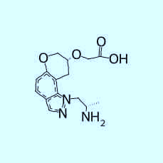 C[C@H](N)Cn1ncc2ccc3c(c21)C[C@@H](OCC(=O)O)CO3